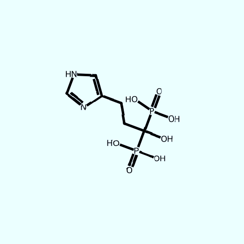 O=P(O)(O)C(O)(CCc1c[nH]cn1)P(=O)(O)O